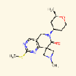 CSc1ncc2c(n1)C1(CN(C)C1)C(=O)N([C@@H]1CCO[C@H](C)C1)C2